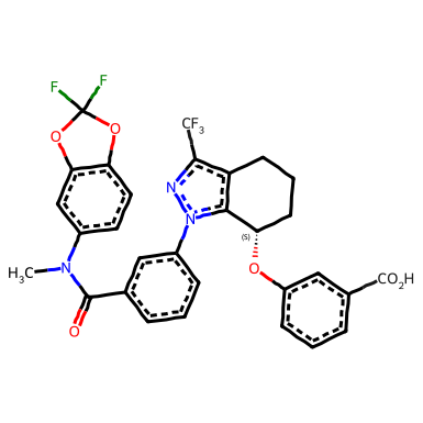 CN(C(=O)c1cccc(-n2nc(C(F)(F)F)c3c2[C@@H](Oc2cccc(C(=O)O)c2)CCC3)c1)c1ccc2c(c1)OC(F)(F)O2